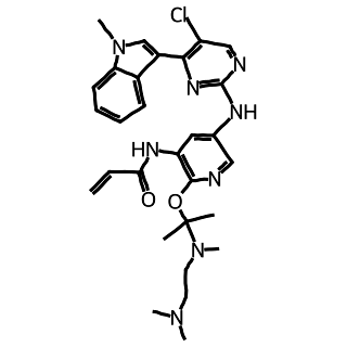 C=CC(=O)Nc1cc(Nc2ncc(Cl)c(-c3cn(C)c4ccccc34)n2)cnc1OC(C)(C)N(C)CCN(C)C